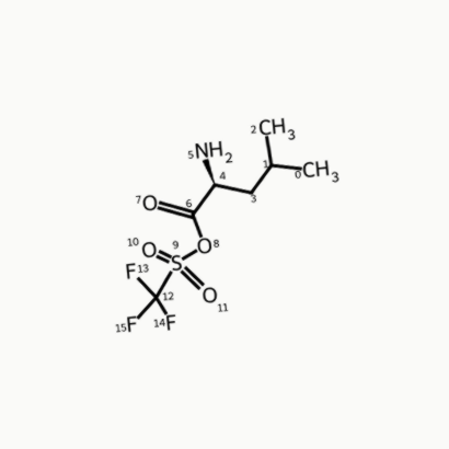 CC(C)C[C@H](N)C(=O)OS(=O)(=O)C(F)(F)F